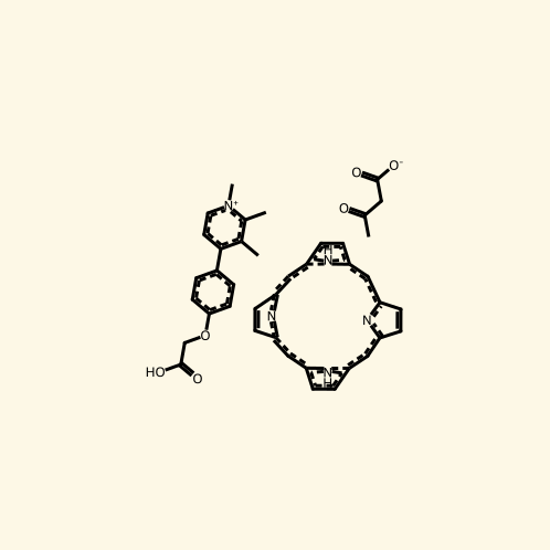 C1=Cc2cc3ccc(cc4nc(cc5ccc(cc1n2)[nH]5)C=C4)[nH]3.CC(=O)CC(=O)[O-].Cc1c(-c2ccc(OCC(=O)O)cc2)cc[n+](C)c1C